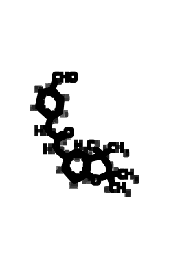 CC1(C)CC(C)(C)c2cc(NC(=O)Nc3ccc(C=O)cc3)ccc2O1